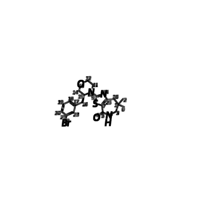 CC1(C)CNC(=O)c2sc(N3CCOC[C@@H]3Cc3cccc(Br)c3)nc2C1